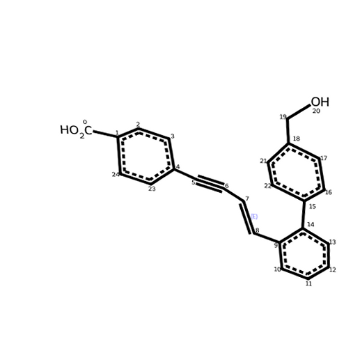 O=C(O)c1ccc(C#C/C=C/c2ccccc2-c2ccc(CO)cc2)cc1